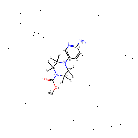 CC(C)(C)OC(=O)N1C(C)(C)C(C)(C)N(c2ccc(N)nc2)C(C)(C)C1(C)C